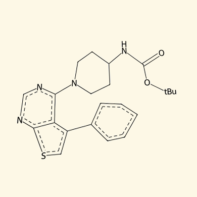 CC(C)(C)OC(=O)NC1CCN(c2ncnc3scc(-c4ccccc4)c23)CC1